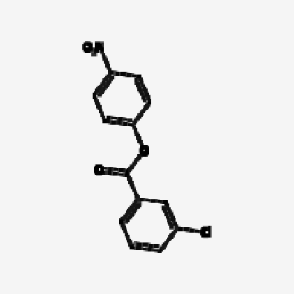 O=C(Oc1ccc([N+](=O)[O-])cc1)c1cccc(Cl)c1